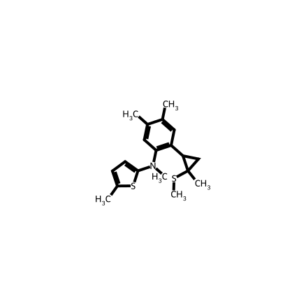 CSC1(C)CC1c1cc(C)c(C)cc1N(C)c1ccc(C)s1